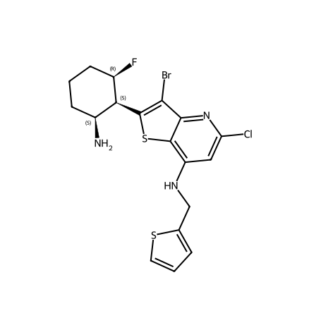 N[C@H]1CCC[C@@H](F)[C@H]1c1sc2c(NCc3cccs3)cc(Cl)nc2c1Br